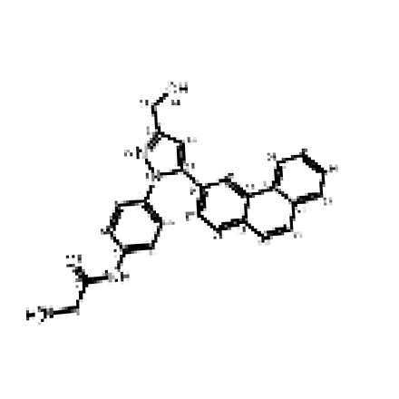 NCC(=O)Nc1ccc(-n2nc(CO)cc2-c2ccc3ccc4ccccc4c3c2)cc1